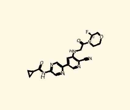 N#Cc1ncc(-c2cnc(NC(=O)C3CC3)cn2)cc1NCC(=O)N1CCOC[C@@H]1F